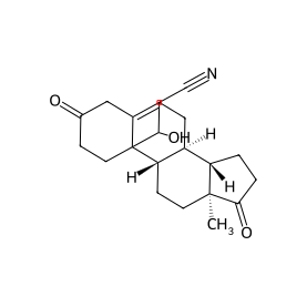 C[C@]12CC[C@H]3[C@@H](CC=C4CC(=O)CCC43C(O)CC#N)[C@@H]1CCC2=O